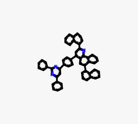 c1ccc(-c2cc(-c3ccc(-c4cc(-c5cccc6ccccc56)nc5c4cc(-c4cccc6ccccc46)c4ccccc45)cc3)nc(-c3ccccc3)n2)cc1